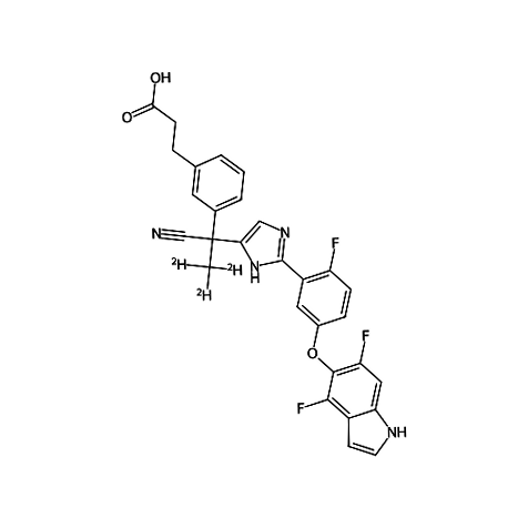 [2H]C([2H])([2H])C(C#N)(c1cccc(CCC(=O)O)c1)c1cnc(-c2cc(Oc3c(F)cc4[nH]ccc4c3F)ccc2F)[nH]1